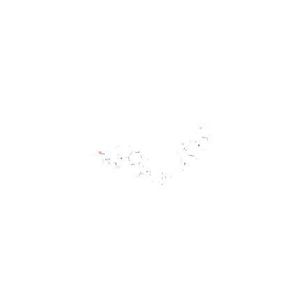 CC(C)(C)OC(=O)N1CC=C(N2CC(CN3CCN(C(=O)c4ccc(Cl)c(N5CCC(=O)NC5=O)c4)CC3)C2)C(F)(F)C1